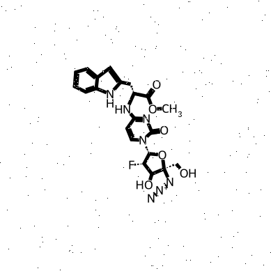 COC(=O)[C@@H](Cc1cc2ccccc2[nH]1)Nc1ccn([C@@H]2O[C@@](CO)(N=[N+]=[N-])C(O)[C@@H]2F)c(=O)n1